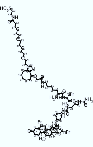 CCCC1O[C@@H]2C[C@H]3[C@@H]4C[C@H](F)C5=CC(=O)C=C[C@]5(C)[C@@]4(F)[C@@H](O)C[C@]3(C)[C@]2(C(=O)COc2ccc(NC(=O)[C@H](CCCNC(N)=O)NC(=O)[C@@H](NC(=O)[C@H](N)CCCCCNC(=O)COC3CCCCCc4c3nnn4CCOCCOCCOCCOCCC(=O)NCCS(=O)(=O)O)C(C)C)cc2)O1